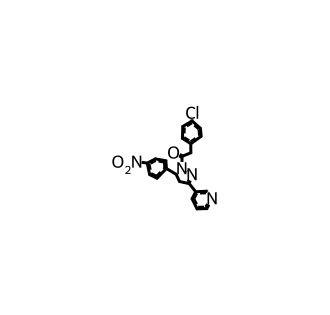 O=C(Cc1ccc(Cl)cc1)N1N=C(c2cccnc2)CC1c1ccc([N+](=O)[O-])cc1